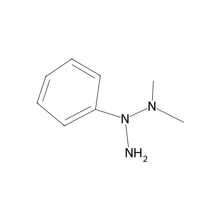 CN(C)N(N)c1ccccc1